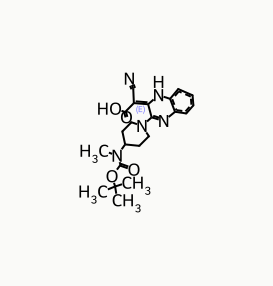 CN(C(=O)OC(C)(C)C)C1CCN(C2=Nc3ccccc3N/C2=C(\C#N)C(=O)O)CC1